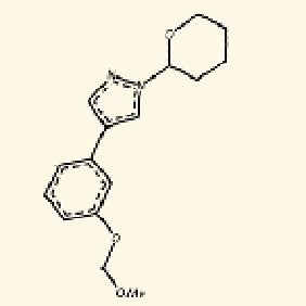 COCOc1cc[c]c(-c2cnn(C3CCCCO3)c2)c1